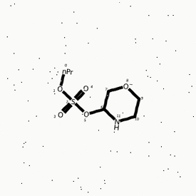 CCCOS(=O)(=O)OC1COCCN1